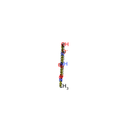 CSCSC/N=C/OOCSCSCSCOC(=O)NCSCSCSC/N=C/[S+]([O-])CCSCCO